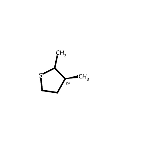 CC1SCC[C@@H]1C